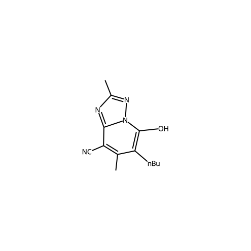 CCCCc1c(C)c(C#N)c2nc(C)nn2c1O